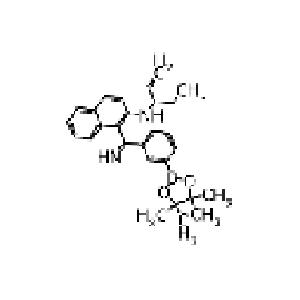 C=CC(CC)Nc1ccc2ccccc2c1C(=N)c1cccc(B2OC(C)(C)C(C)(C)O2)c1